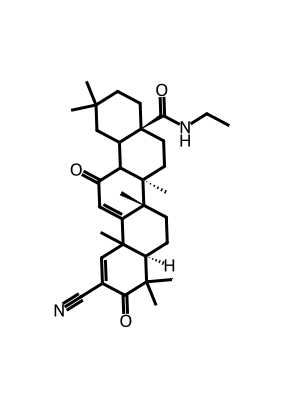 CCNC(=O)[C@]12CCC(C)(C)CC1C1C(=O)C=C3C4(C)C=C(C#N)C(=O)C(C)(C)[C@@H]4CC[C@@]3(C)[C@]1(C)CC2